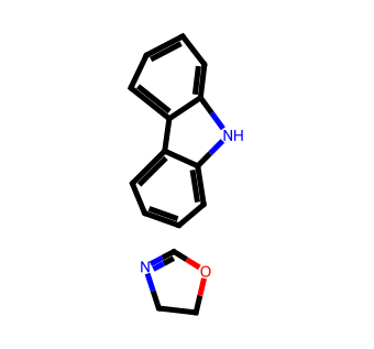 C1=NCCO1.c1ccc2c(c1)[nH]c1ccccc12